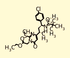 CCOC(=O)Cn1c(SC)nc([C@@H](C)C[C@H](N[S@@+]([O-])C(C)(C)C)c2ccc(Cl)cc2)cc1=O